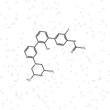 CC(=O)Nc1ccc(-c2cccc(-c3ccnc(N4CC(C)NC(C)C4)c3)c2O)cc1F